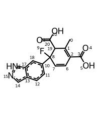 CC1=C(C(=O)O)C=CC(F)(c2ccc3cn[nH]c3c2)C1C(=O)O